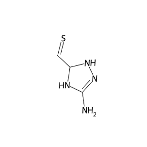 NC1=NNC(C=S)N1